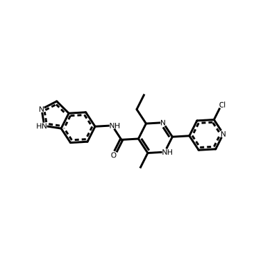 CCC1N=C(c2ccnc(Cl)c2)NC(C)=C1C(=O)Nc1ccc2[nH]ncc2c1